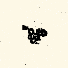 [CH2]c1ccc(Oc2cccc(Br)c2)cc1N(C)[C@@H](C(N)=O)c1ccccc1